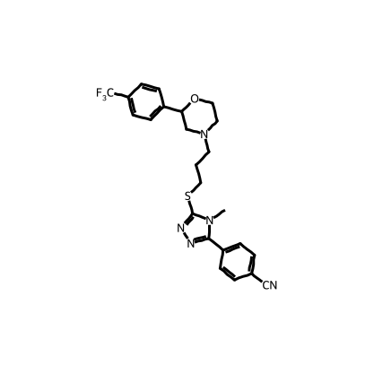 Cn1c(SCCCN2CCOC(c3ccc(C(F)(F)F)cc3)C2)nnc1-c1ccc(C#N)cc1